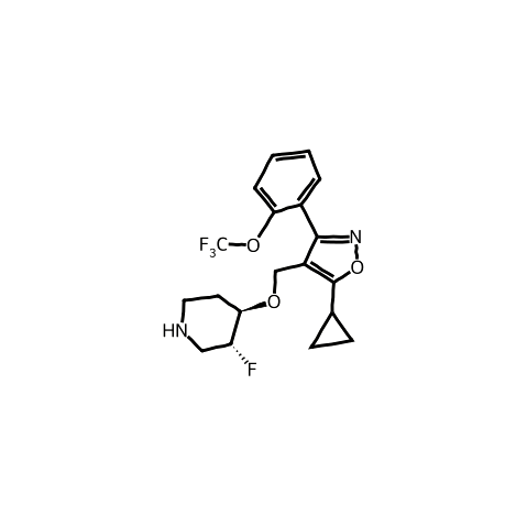 F[C@@H]1CNCC[C@H]1OCc1c(-c2ccccc2OC(F)(F)F)noc1C1CC1